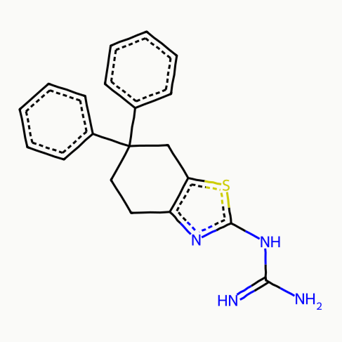 N=C(N)Nc1nc2c(s1)CC(c1ccccc1)(c1ccccc1)CC2